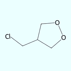 ClCC1COOC1